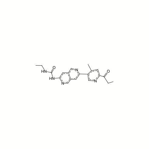 CCNC(=O)Nc1cc2cnc(-c3cnc(C(=O)CC)cc3C)cc2cn1